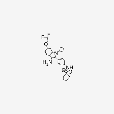 Nc1c(-c2ccc(NS(=O)(=O)C3CCCC3)cc2)n(C2CCC2)c2cc(OCC(F)F)ccc12